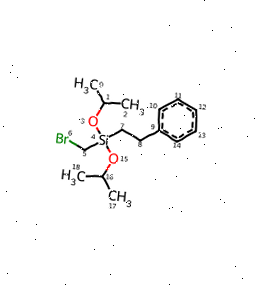 CC(C)O[Si](CBr)(CCc1ccccc1)OC(C)C